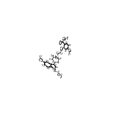 CCOCCn1cc(C2CCN(CCOc3cc(OC)ccc3C(=O)O)CC2)c2cc(OC)ccc21